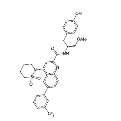 COC[C@H](Cc1ccc(O)cc1)NC(=O)c1cc(N2CCCCS2(=O)=O)c2cc(-c3cccc(C(F)(F)F)c3)ccc2n1